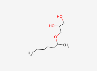 CCCCCC(C)OCC(O)CO